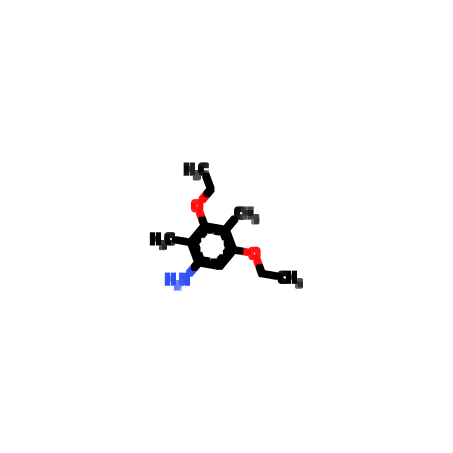 CCOc1cc(N)c(C)c(OCC)c1C